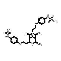 C=C1NC(CCOc2ccc(NS(C)(=O)=O)cc2)C2C(=C)C1C(=C)N(CCOc1ccc(NS(C)(=O)=O)cc1)C2=C